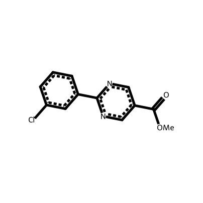 COC(=O)c1cnc(-c2cccc(Cl)c2)nc1